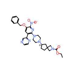 CCOC(=O)N1CC2(CC[C@@H](N3CCN(c4nc([N+](=O)[O-])c(OCc5ccccc5)cc4-c4cnccn4)CC3)C2)C1